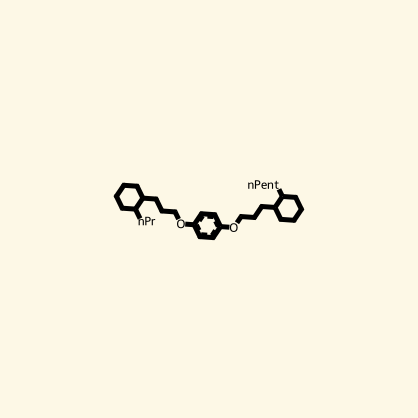 CCCCCC1CCCCC1CCCOc1ccc(OCCCC2CCCCC2CCC)cc1